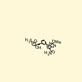 COc1ncc2c(C(N)=O)nn(-c3cccc(C#CC4(O)CCN(C)C4=O)c3)c2n1